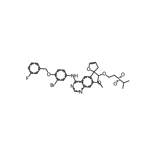 CCC(OCCS(=O)(=O)C(C)C)C1(c2cc3c(Nc4ccc(OCc5cccc(F)c5)c(Br)c4)ncnc3cc2OC)CC=CO1